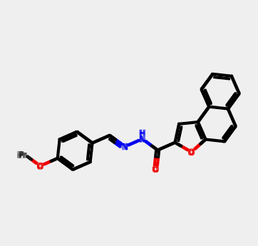 CC(C)Oc1ccc(/C=N/NC(=O)c2cc3c(ccc4ccccc43)o2)cc1